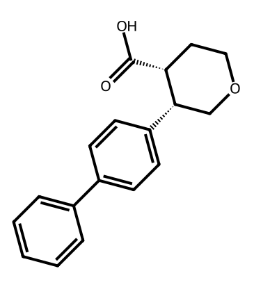 O=C(O)[C@@H]1CCOC[C@@H]1c1ccc(-c2ccccc2)cc1